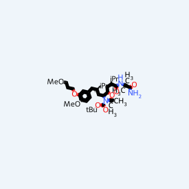 COCCCOc1cc(C[C@H](CC2C(C[C@H](C(=O)NC(C)(C)C(N)=O)C(C)C)OC(C)(C)N2C(=O)OC(C)(C)C)C(C)C)ccc1OC